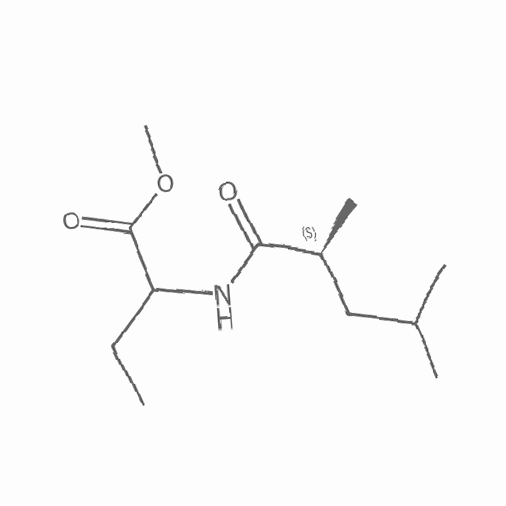 CCC(NC(=O)[C@@H](C)CC(C)C)C(=O)OC